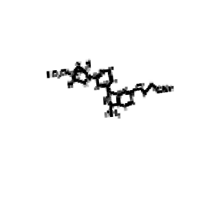 COCCOc1ccc2c(N)nn(-c3ccnc(N4C[C@@H]5C[C@H]4CN5C(=O)O)c3)c2c1